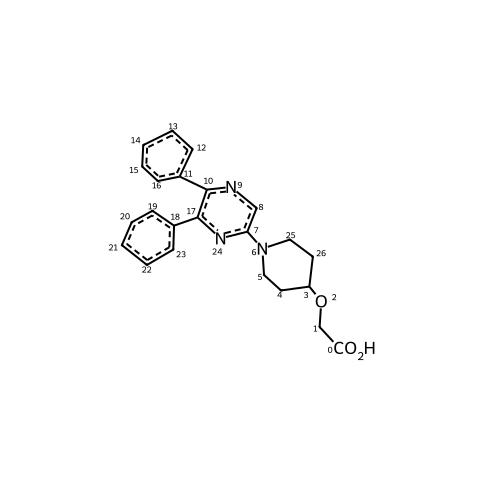 O=C(O)COC1CCN(c2cnc(-c3ccccc3)c(-c3ccccc3)n2)CC1